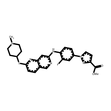 COC(=O)c1ccn(-c2ccc(Nc3cc4nc(SC5CCN(C)CC5)ccc4cn3)c(F)c2)n1